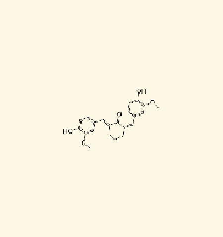 COc1cc(/C=C2/CCC/C(=C\c3ccc(O)c(OC)c3)C2=O)ccc1O